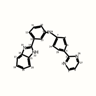 c1cnc(-c2ccc(Nc3cccc(-c4nc5ccccc5[nH]4)c3)cc2)nc1